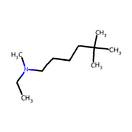 CCN(C)CCCCC(C)(C)C